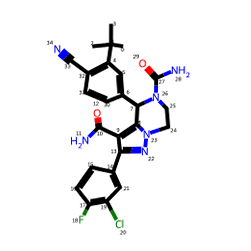 CC(C)(C)c1cc(C2c3c(C(N)=O)c(-c4ccc(F)c(Cl)c4)nn3CCN2C(N)=O)ccc1C#N